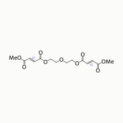 COC(=O)/C=C/C(=O)OCCOCCOC(=O)/C=C/C(=O)OC